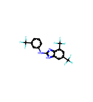 FC(F)(F)c1cccc(Nc2nc3c(C(F)(F)F)cc(C(F)(F)F)cc3[nH]2)c1